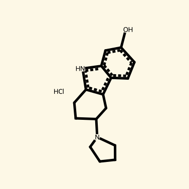 Cl.Oc1ccc2c3c([nH]c2c1)CCC(N1CCCC1)C3